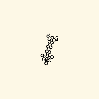 Cc1ccsc1-c1ccc(-c2sccc2C)c2c1-c1ccc3c4ccc5c6ccc7c8c(ccc(c9ccc(c%10ccc-2c1c3%10)c4c59)c86)-c1c(-c2ccccc2)c2c(c(-c3ccccc3)c1-7)C(=O)N(c1ccccc1)C2=O